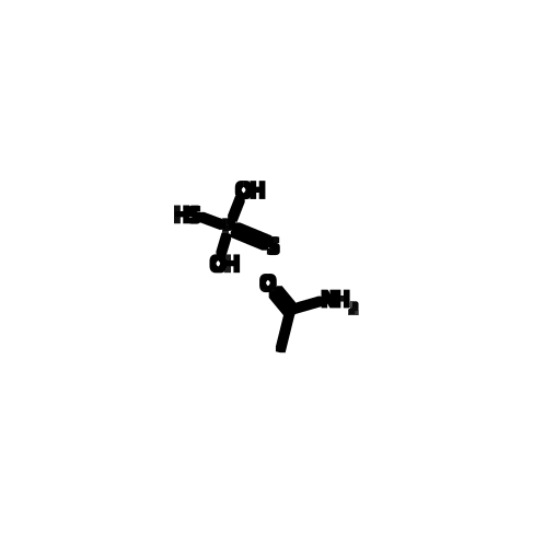 CC(N)=O.OP(O)(=S)S